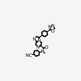 CN(C(=O)c1cn2c(-c3ccc(-c4nnco4)cc3)cnc2cn1)c1ccc(C#N)cc1